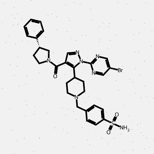 NS(=O)(=O)c1ccc(CN2CCC(c3c(C(=O)N4CC[C@H](c5ccccc5)C4)cnn3-c3ncc(Br)cn3)CC2)cc1